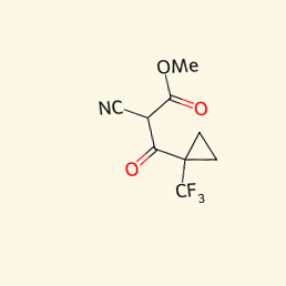 COC(=O)C(C#N)C(=O)C1(C(F)(F)F)CC1